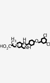 CC(CN1CCC2NC(C3CCC(OCC4CC(Cl)CC(Cl)C4)CC3)NCC2C1)C(=O)O